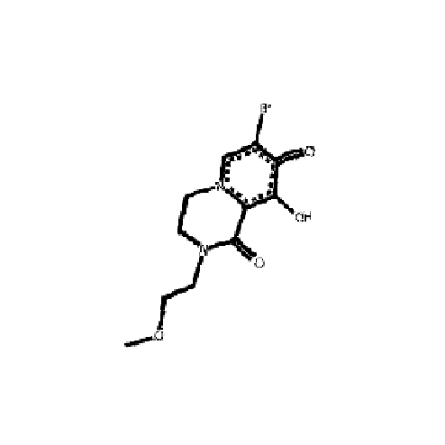 COCCN1CCn2cc(Br)c(=O)c(O)c2C1=O